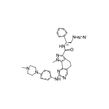 CN1CCN(c2ccc(Nc3ncc4c(n3)-c3c(c(C(=O)N[C@H](CN=[N+]=[N-])c5ccccc5)nn3C)CC4)cc2)CC1